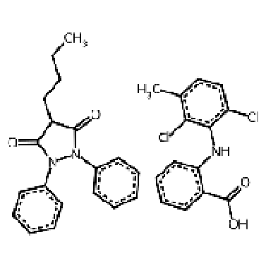 CCCCC1C(=O)N(c2ccccc2)N(c2ccccc2)C1=O.Cc1ccc(Cl)c(Nc2ccccc2C(=O)O)c1Cl